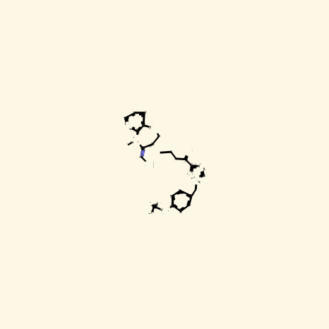 CN1/C(=C/S)[C@@H](CCCC(=O)c2ncn(Cc3ccc(OC(F)(F)F)cc3)n2)COc2cccnc21